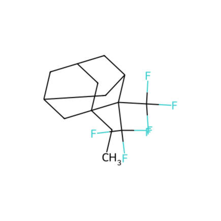 CCC12CC3CC(CC(C3)C1(C(F)(F)F)C(F)(F)F)C2